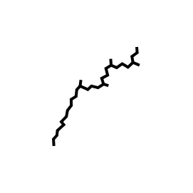 CCCCCCCCCCCCC(C)CCCC(C)CCCC(C)CCCC(C)CCC